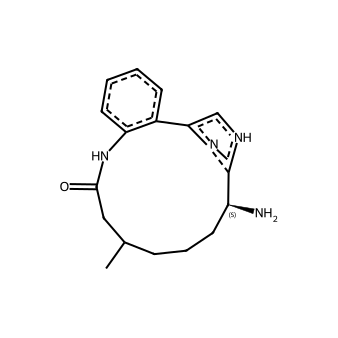 CC1CCC[C@H](N)c2nc(c[nH]2)-c2ccccc2NC(=O)C1